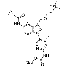 Cc1cc(NC(=O)OC(C)(C)C)ncc1-c1cn(COCC[Si](C)(C)C)c2nc(NC(=O)C3CC3)ccc12